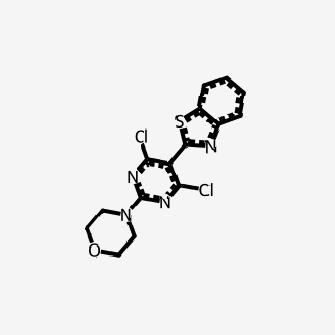 Clc1nc(N2CCOCC2)nc(Cl)c1-c1nc2ccccc2s1